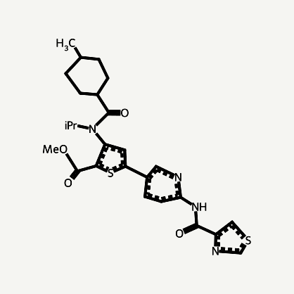 COC(=O)c1sc(-c2ccc(NC(=O)c3cscn3)nc2)cc1N(C(=O)C1CCC(C)CC1)C(C)C